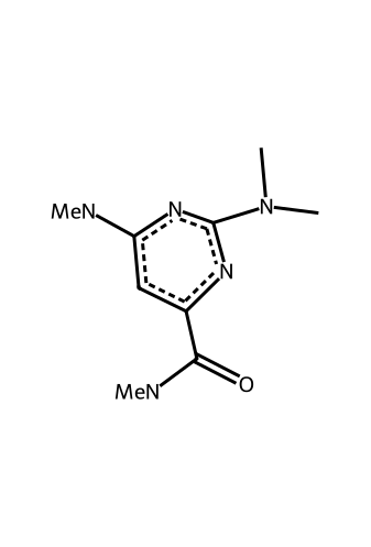 CNC(=O)c1cc(NC)nc(N(C)C)n1